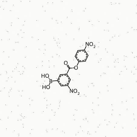 O=C(Oc1ccc([N+](=O)[O-])cc1)c1cc(B(O)O)cc([N+](=O)[O-])c1